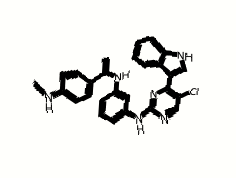 C=C(Nc1cccc(Nc2ncc(Cl)c(-c3c[nH]c4ccccc34)n2)c1)c1ccc(NC)cc1